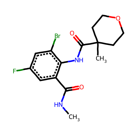 CNC(=O)c1cc(F)cc(Br)c1NC(=O)C1(C)CCOCC1